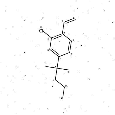 C=Cc1ccc(C(C)(C)CCC)cc1Cl